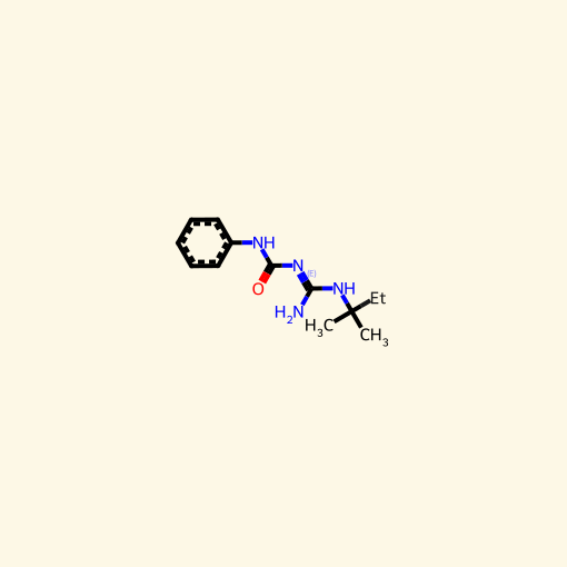 CCC(C)(C)N/C(N)=N/C(=O)Nc1ccccc1